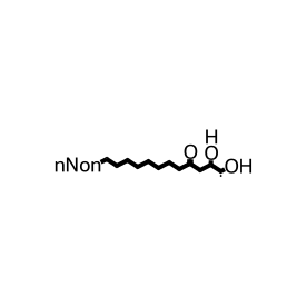 CCCCCCCCCCCCCCCCCC(=O)CC(O)[CH]O